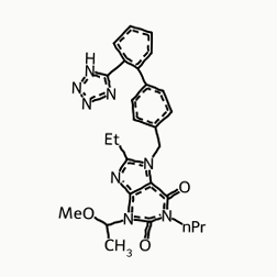 CCCn1c(=O)c2c(nc(CC)n2Cc2ccc(-c3ccccc3-c3nnn[nH]3)cc2)n(C(C)OC)c1=O